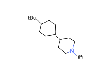 CC(C)N1CCC(C2CCC(C(C)(C)C)CC2)CC1